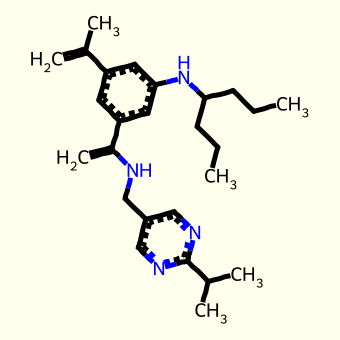 C=C(C)c1cc(NC(CCC)CCC)cc(C(=C)NCc2cnc(C(C)C)nc2)c1